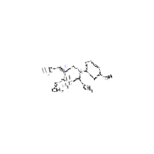 C=CN/C(=C\C)CN(c1cccc(O)c1)C(C)C